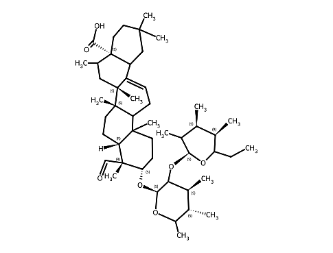 CCC1O[C@@H](OC2[C@H](O[C@H]3CCC4(C)C5CC=C6C7CC(C)(C)CC[C@]7(C(=O)O)C(C)C[C@@]6(C)[C@@]5(C)CC[C@H]4[C@@]3(C)C=O)OC(C)[C@@H](C)[C@@H]2C)C(C)[C@@H](C)[C@H]1C